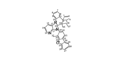 C=CC1(CC)c2ccccc2N2c3cccnc3N(c3ccc4c(oc5ccccc54)c3C)C2C1(C)CC